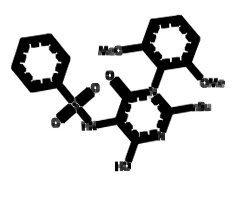 CCCCc1nc(O)c(NS(=O)(=O)c2ccccc2)c(=O)n1-c1c(OC)cccc1OC